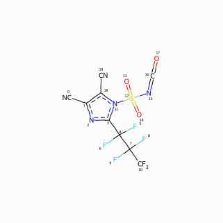 N#Cc1nc(C(F)(F)C(F)(F)C(F)(F)F)n(S(=O)(=O)N=C=O)c1C#N